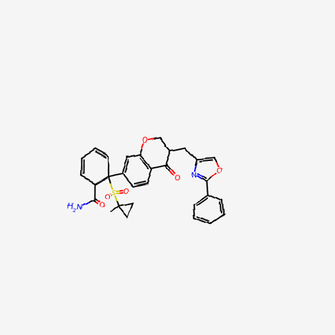 CC1(S(=O)(=O)C2(c3ccc4c(c3)OCC(Cc3coc(-c5ccccc5)n3)C4=O)C=CC=CC2C(N)=O)CC1